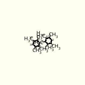 Cc1cc(C)c(C)c(C)c1C.Cc1cc(C)c(C)cc1C